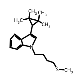 CSCCCCn1cc([C]2C(C)(C)C2(C)C)c2ccccc21